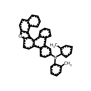 Cc1ccccc1N(c1ccc2c(c1)c1ccccc1c1c2ccc2oc3ccc4ccccc4c3c21)c1ccccc1C